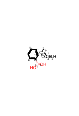 CC(=O)O.CC(=O)O.OB(O)c1ccccc1